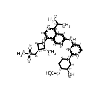 CO[C@@H]1CCN(c2nccc(Nc3cc4c(C(C)C)ncc(N5C[C@H](CS(C)(=O)=O)[C@H]5C)c4cn3)n2)C[C@H]1O